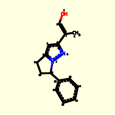 CC(=CO)c1cc2n(n1)C(c1ccccc1)CC2